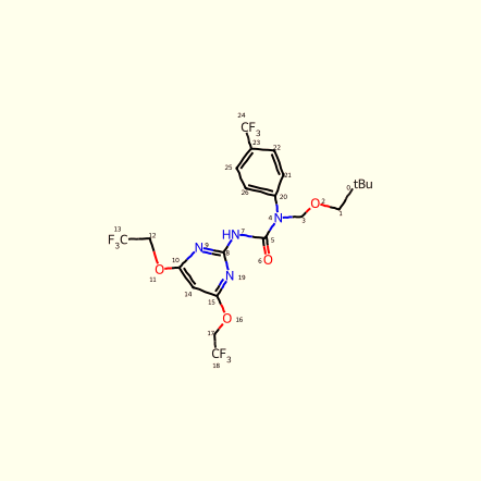 CC(C)(C)COCN(C(=O)Nc1nc(OCC(F)(F)F)cc(OCC(F)(F)F)n1)c1ccc(C(F)(F)F)cc1